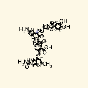 CC1=NC2=CN(C(N)=O)NN2C(SCC2=C(C(=O)O)N3C(=O)[C@@H](NC(=O)/C(=N\OCCNS(=O)(=O)c4ccc(O)c(O)c4)c4csc(N)n4)[C@H]3SC2)=C1